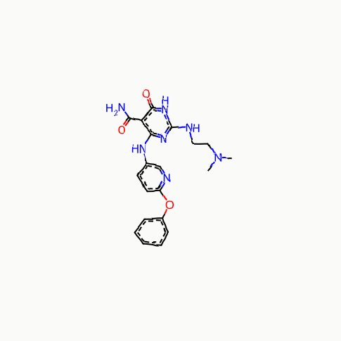 CN(C)CCNc1nc(Nc2ccc(Oc3ccccc3)nc2)c(C(N)=O)c(=O)[nH]1